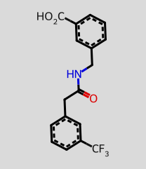 O=C(Cc1cccc(C(F)(F)F)c1)NCc1cccc(C(=O)O)c1